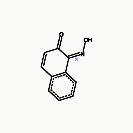 O=C1C=Cc2ccccc2/C1=N/O